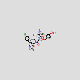 CCOc1ccc(COC[C@@H](NC(=O)C(C)(C)N)C(=O)N2CCCC3(C2)C(=O)N(C)CC3c2ccc(F)cc2)cc1